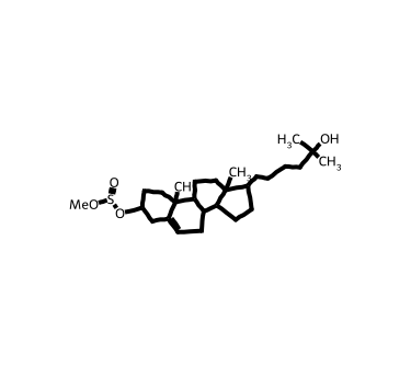 COS(=O)OC1CCC2(C)C(=CCC3C2CCC2(C)C(CCCCC(C)(C)O)CCC32)C1